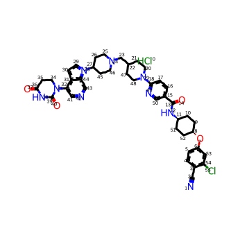 Cl.N#Cc1ccc(O[C@H]2CC[C@H](NC(=O)c3ccc(N4CCC(CN5CCC(n6ccc7c(N8CCC(=O)NC8=O)cncc76)CC5)CC4)nc3)CC2)cc1Cl